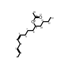 CC=CC/C=C\CCCC(CCCC)OC(C)=O